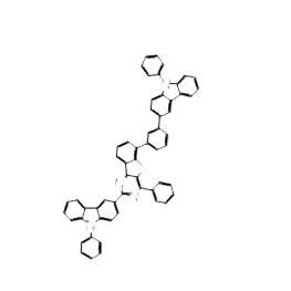 c1ccc(-c2nc(-c3ccc4c(c3)c3ccccc3n4-c3ccccc3)nc3c2sc2c(-c4cccc(-c5ccc6c(c5)c5ccccc5n6-c5ccccc5)c4)cccc23)cc1